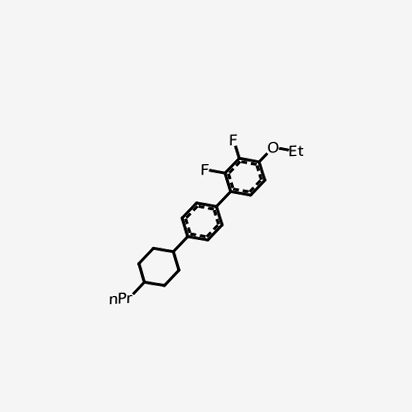 CCCC1CCC(c2ccc(-c3ccc(OCC)c(F)c3F)cc2)CC1